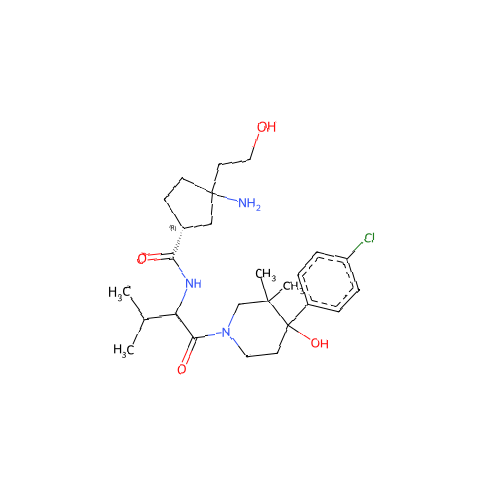 CC(C)C(NC(=O)[C@@H]1CCC(N)(CCO)C1)C(=O)N1CCC(O)(c2ccc(Cl)cc2)C(C)(C)C1